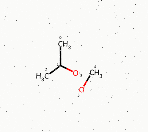 CC(C)[O].C[O]